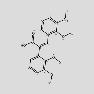 COc1cccc(C=C(C(=O)O)c2cccc(OC)c2OC)c1OC